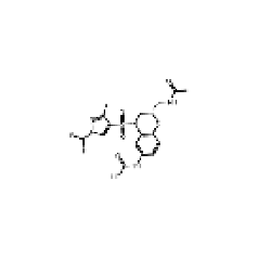 CC(=O)NC[C@H]1CN(S(=O)(=O)c2cn(C(F)F)nc2C)c2cc(NC(=O)O)ccc2O1